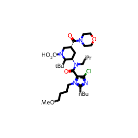 CCCCc1nc(Cl)c(C(=O)N(CC(C)C)[C@H]2C[C@@H](C(=O)N3CCOCC3)CN(C(=O)O)C2C(C)(C)C)n1CCCCOC